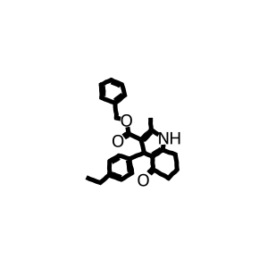 CCc1ccc(C2C(C(=O)OCc3ccccc3)=C(C)NC3=C2C(=O)CCC3)cc1